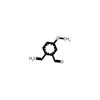 C=Cc1ccc(OC)cc1C=O